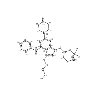 CCOCCn1nc(CN2CCNC(C)(C)C2)c2nc(N3CCNCC3)nc(Nc3ccncn3)c21